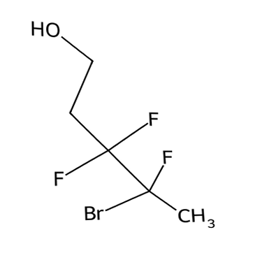 CC(F)(Br)C(F)(F)CCO